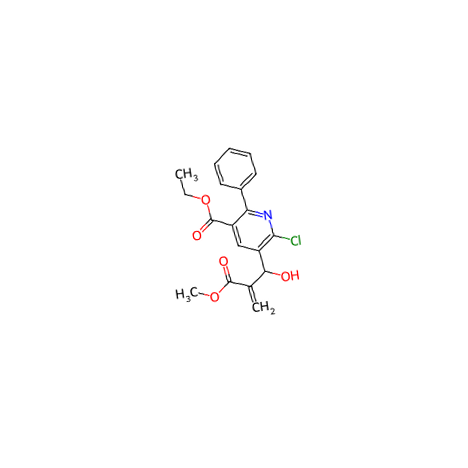 C=C(C(=O)OC)C(O)c1cc(C(=O)OCC)c(-c2ccccc2)nc1Cl